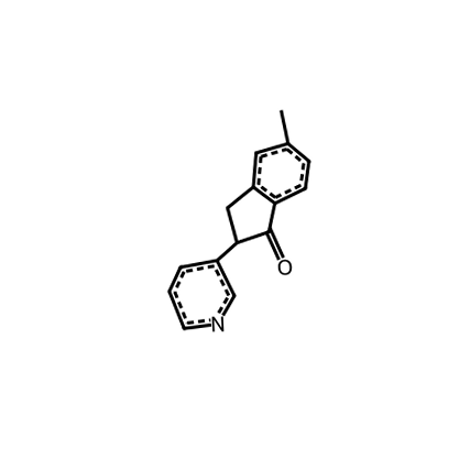 Cc1ccc2c(c1)CC(c1cccnc1)C2=O